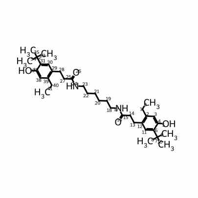 CCc1cc(O)c(C(C)(C)C)cc1CCC(=O)NCCCCCCNC(=O)CCc1cc(C(C)(C)C)c(O)cc1CC